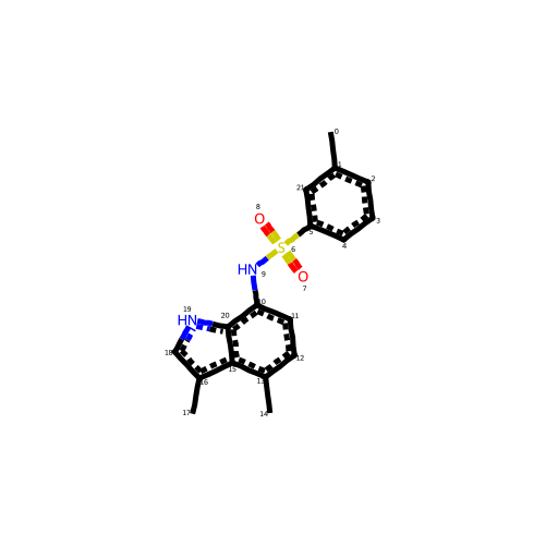 Cc1cccc(S(=O)(=O)Nc2ccc(C)c3c(C)c[nH]c23)c1